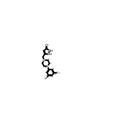 O=c1cc(CN2CCN(c3cc(F)cc(F)c3)CC2)[nH][nH]1